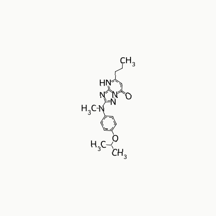 CCCc1cc(=O)n2nc(N(C)c3ccc(OC(C)C)cc3)nc2[nH]1